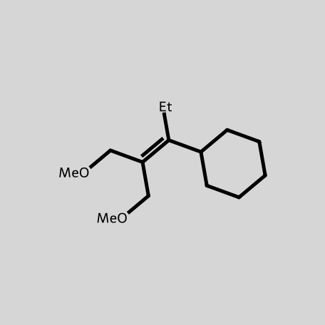 CCC(=C(COC)COC)C1CCCCC1